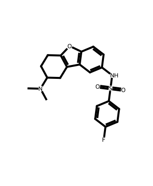 CN(C)C1CCc2oc3ccc(NS(=O)(=O)c4ccc(F)cc4)cc3c2C1